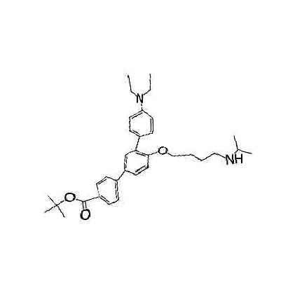 CCN(CC)c1ccc(-c2cc(-c3ccc(C(=O)OC(C)(C)C)cc3)ccc2OCCCCNC(C)C)cc1